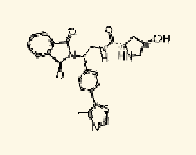 Cc1ncsc1-c1ccc(C(CNC(=O)[C@@H]2C[C@@H](O)CN2)N2C(=O)c3ccccc3C2=O)cc1